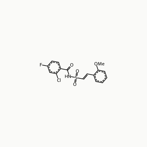 COc1ccccc1C=CS(=O)(=O)NC(=O)c1ccc(F)cc1Cl